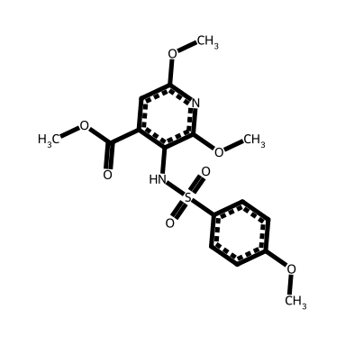 COC(=O)c1cc(OC)nc(OC)c1NS(=O)(=O)c1ccc(OC)cc1